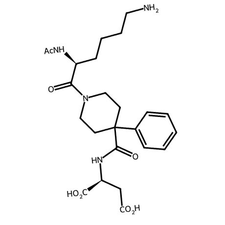 CC(=O)N[C@@H](CCCCN)C(=O)N1CCC(C(=O)N[C@@H](CC(=O)O)C(=O)O)(c2ccccc2)CC1